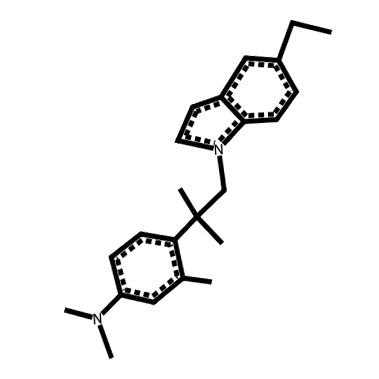 CCc1ccc2c(ccn2CC(C)(C)c2ccc(N(C)C)cc2C)c1